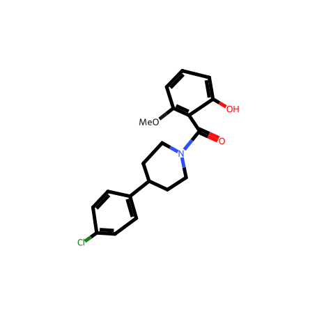 COc1cccc(O)c1C(=O)N1CCC(c2ccc(Cl)cc2)CC1